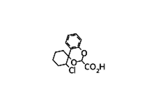 O=C(O)C1Oc2ccccc2C2(CCCCC2Cl)O1